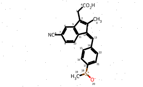 CC1=C(CC(=O)O)c2cc(C#N)ccc2/C1=C\c1ccc([S+](C)[O-])cc1